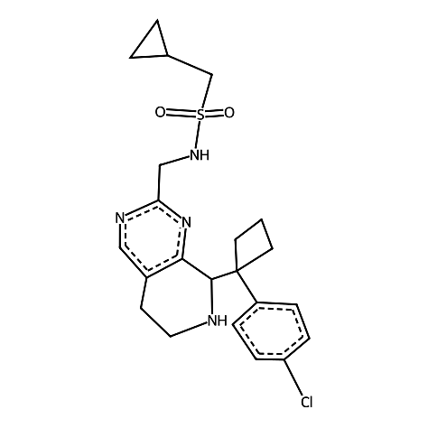 O=S(=O)(CC1CC1)NCc1ncc2c(n1)C(C1(c3ccc(Cl)cc3)CCC1)NCC2